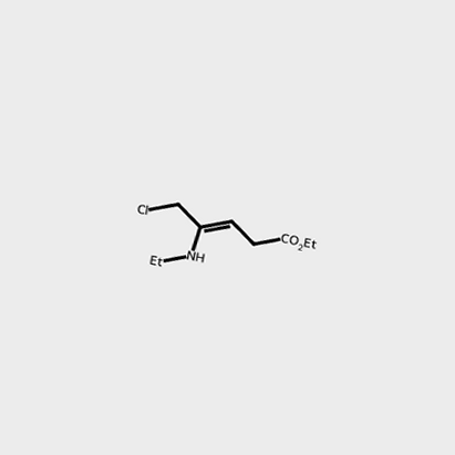 CCN/C(=C\CC(=O)OCC)CCl